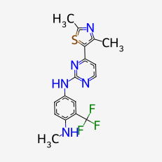 CNc1ccc(Nc2nccc(-c3sc(C)nc3C)n2)cc1C(F)(F)F